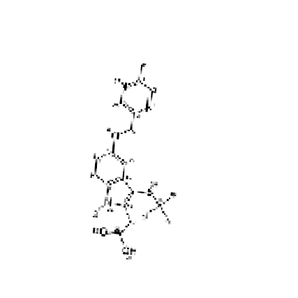 Cc1cnc(COc2ccc3c(c2)c(SC(C)(C)C)c(CC(=O)O)n3C)cn1